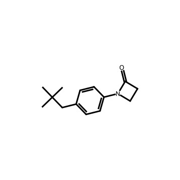 CC(C)(C)Cc1ccc(N2CCC2=O)cc1